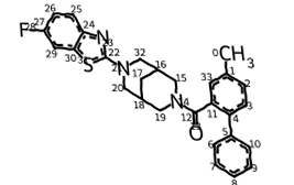 Cc1ccc(-c2ccccc2)c(C(=O)N2CC3CC(C2)CN(c2nc4ccc(F)cc4s2)C3)c1